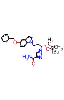 CC(C)(C)[Si](C)(C)OC[C@@H](CCn1ccc2cc(OCc3ccccc3)ccc21)n1cnc(C(N)=O)c1